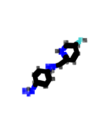 Nc1ccc(NCc2ccc(F)cn2)cc1